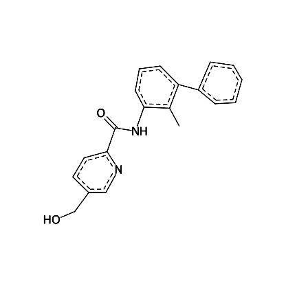 Cc1c(NC(=O)c2ccc(CO)cn2)cccc1-c1ccccc1